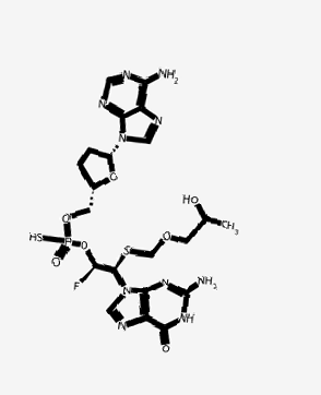 CC(O)COCS[C@H]([C@@H](F)OP(=O)(S)OC[C@@H]1CC[C@H](n2cnc3c(N)ncnc32)O1)n1cnc2c(=O)[nH]c(N)nc21